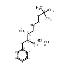 CC(C)(C)CCNC[C@@H](O)[C@@H](N)Cc1ccccc1.Cl.Cl